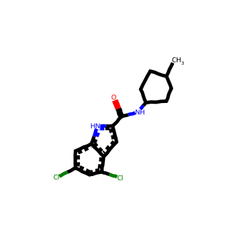 CC1CCC(NC(=O)c2cc3c(Cl)cc(Cl)cc3[nH]2)CC1